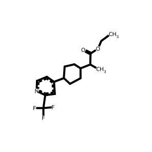 CCOC(=O)C(C)C1CCC(c2ccnc(C(F)(F)F)c2)CC1